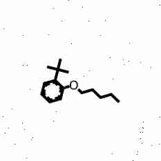 CCCCCOc1ccccc1C(C)(C)C